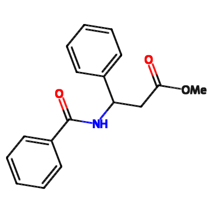 COC(=O)CC(NC(=O)c1ccccc1)c1ccccc1